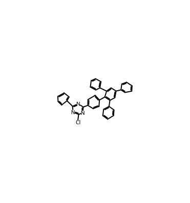 Clc1nc(-c2ccccc2)nc(-c2ccc(-c3c(-c4ccccc4)cc(-c4ccccc4)cc3-c3ccccc3)cc2)n1